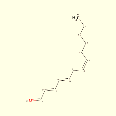 CCCCC/C=C\C/C=C/C=C/C=O